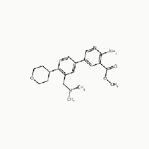 COC(=O)c1cc(-c2ccc(C3CCOCC3)c(CN(C)C)c2)cnc1N